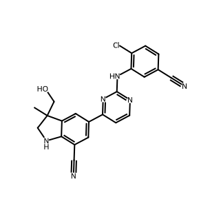 CC1(CO)CNc2c(C#N)cc(-c3ccnc(Nc4cc(C#N)ccc4Cl)n3)cc21